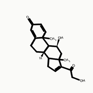 CC12C=CC(=O)C=C1CC[C@@H]1C2[C@@H](O)CC2(C)C(C(=O)CO)=CCC12